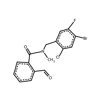 CN(Cc1cc(F)c(Br)cc1Cl)C(=O)c1ccccc1C=O